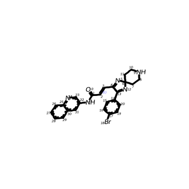 O=C(/C=C/C1=NC2(CCNCC2)N=C1c1ccc(Br)cc1)Nc1cnc2ccccc2c1